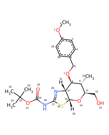 COc1ccc(CO[C@H]2[C@H](C)[C@@H](CO)O[C@@H]3SC(NC(=O)OC(C)(C)C)=N[C@H]23)cc1